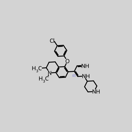 CC1CCc2c(ccc(/C(C=N)=C/NC3CCNCC3)c2Oc2ccc(Cl)cc2)N1C